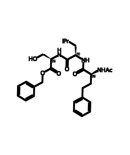 CC(=O)N[C@@H](CCc1ccccc1)C(=O)N[C@@H](CC(C)C)C(=O)N[C@@H](CO)C(=O)OCc1ccccc1